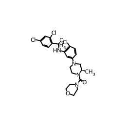 CC(Nc1cc(N2CCN(C(=O)N3CCOCC3)[C@H](C)C2)ccc1Cl)c1ccc(Cl)cc1Cl